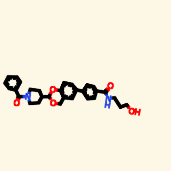 O=C(NCCCO)c1ccc(-c2ccc3c(c2)COC(C2CCN(C(=O)c4ccccc4)CC2)O3)cc1